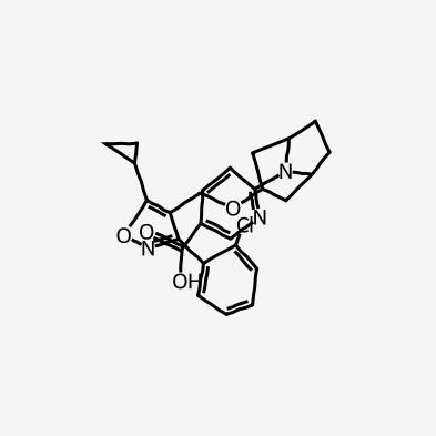 O=C(O)c1ccc(N2C3CCC2CC(OCc2c(-c4ccccc4Cl)noc2C2CC2)C3)nc1